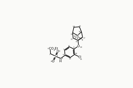 CCOC(=O)CS(=O)(=O)Nc1ccc(OC2CC3CCC(C2)N3C)c(Cl)c1